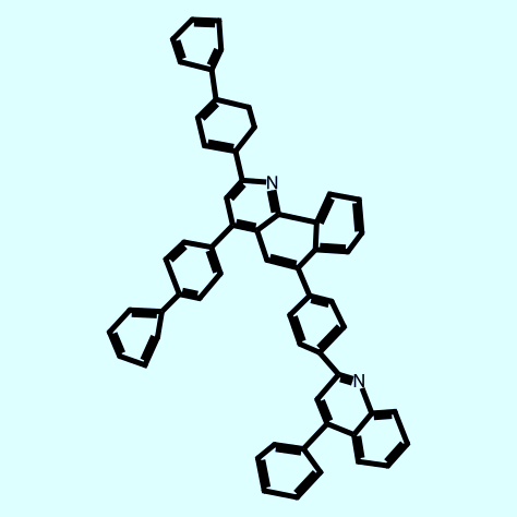 C1=C(c2ccccc2)CCC(c2cc(-c3ccc(-c4ccccc4)cc3)c3cc(-c4ccc(-c5cc(-c6ccccc6)c6ccccc6n5)cc4)c4ccccc4c3n2)=C1